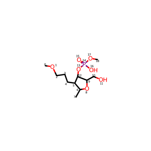 COCCCC1C(C)OC(CO)C1OP(=O)(O)OC